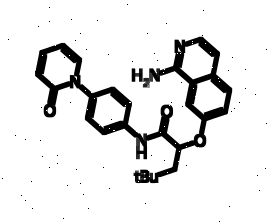 CC(C)(C)CC(Oc1ccc2ccnc(N)c2c1)C(=O)Nc1ccc(-n2ccccc2=O)cc1